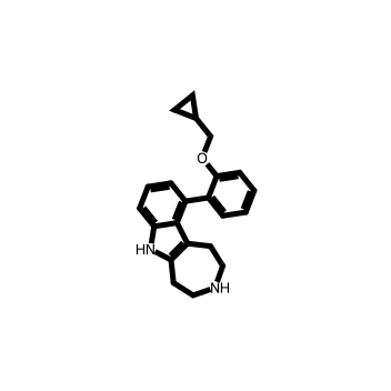 c1ccc(-c2cccc3[nH]c4c(c23)CCNCC4)c(OCC2CC2)c1